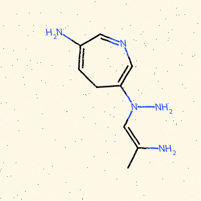 C/C(N)=C/N(N)C1=CN=CC(N)=CC1